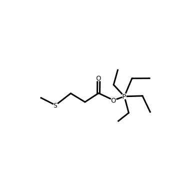 CCP(CC)(CC)(CC)OC(=O)CCSC